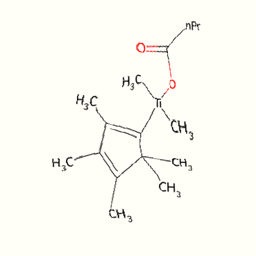 CCCC(=O)[O][Ti]([CH3])([CH3])[C]1=C(C)C(C)=C(C)C1(C)C